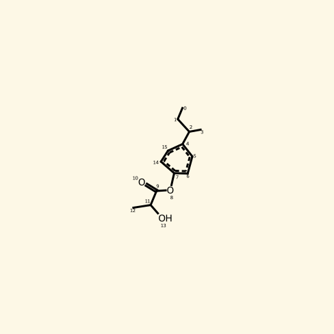 CCC(C)c1ccc(OC(=O)C(C)O)cc1